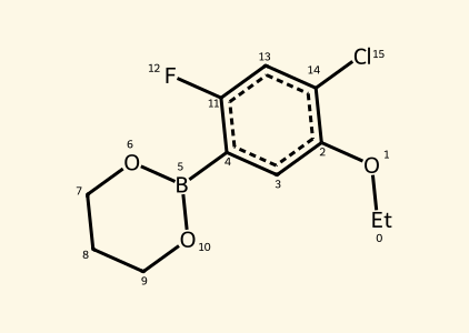 CCOc1cc(B2OCCCO2)c(F)cc1Cl